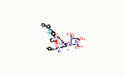 Cc1ccc(CCCC(=O)NCCCC[C@H](NC(=O)CN2CCN(CC(=O)O)CCN(CC(=O)O)CN(CC(=O)O)CC2)C(=O)NCCCCCCOc2cc(/C=C/c3cccc(-c4ccccc4)c3C)c(C(F)(F)F)cc2CN2CCCC[C@H]2C(=O)O)cc1